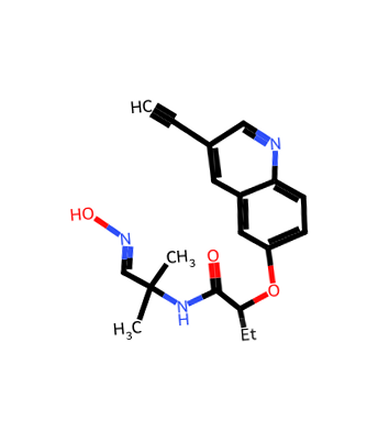 C#Cc1cnc2ccc(OC(CC)C(=O)NC(C)(C)C=NO)cc2c1